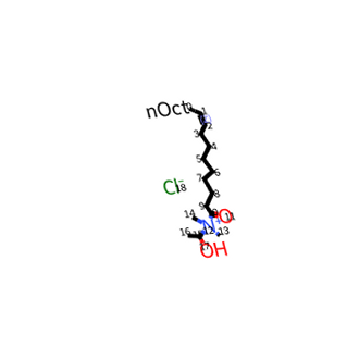 CCCCCCCC/C=C\CCCCCCCC(=O)[N+](C)(C)C(C)O.[Cl-]